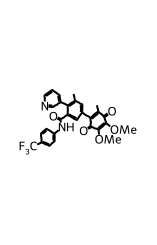 COC1=C(OC)C(=O)C(c2cc(C)c(-c3cccnc3)c(C(=O)Nc3ccc(C(F)(F)F)cc3)c2)=C(C)C1=O